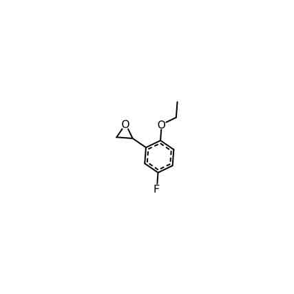 CCOc1ccc(F)cc1C1CO1